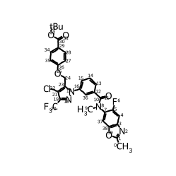 Cc1nc2cc(F)c(N(C)C(=O)c3cccc(-n4nc(C(F)(F)F)c(Cl)c4COc4ccc(C(=O)OC(C)(C)C)cc4)c3)cc2o1